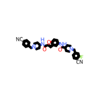 N#Cc1ccc(CN2CCC(NC(=O)c3cc4cc(NC(=O)C5CCN(Cc6ccc(C#N)c(F)c6)CC5)ccc4o3)CC2)cc1